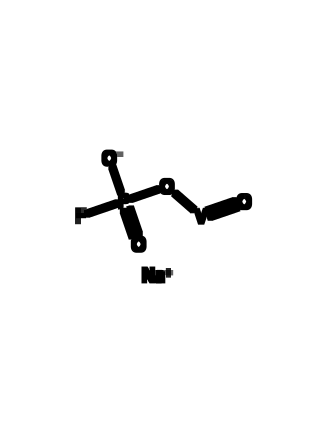 [Na+].[O]=[V][O]P(=O)([O-])F